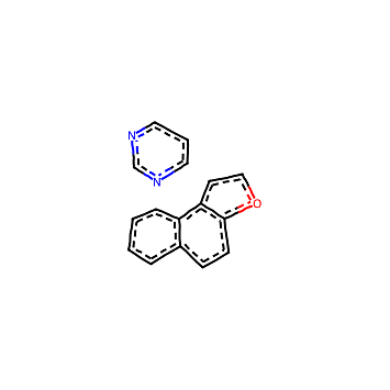 c1ccc2c(c1)ccc1occc12.c1cncnc1